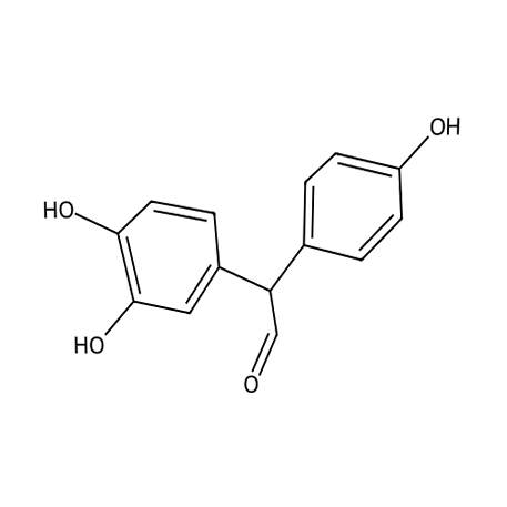 O=CC(c1ccc(O)cc1)c1ccc(O)c(O)c1